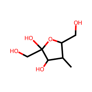 CC1C(CO)OC(O)(CO)C1O